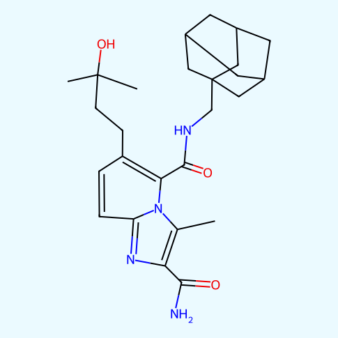 Cc1c(C(N)=O)nc2ccc(CCC(C)(C)O)c(C(=O)NCC34CC5CC(CC(C5)C3)C4)n12